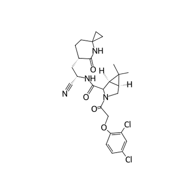 CC1(C)[C@@H]2C(C(=O)N[C@H](C#N)C[C@@H]3CCC4(CC4)NC3=O)N(C(=O)COc3ccc(Cl)cc3Cl)C[C@@H]21